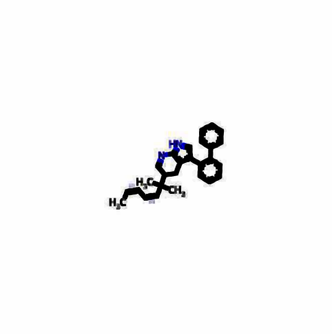 C/C=C\C=C/C(C)(C)C1C=Nc2[nH]cc(-c3ccccc3-c3ccccc3)c2C1